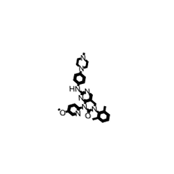 COc1ccc(N2C(=O)N(c3c(C)cccc3C)Cc3cnc(Nc4ccc(N5CCN(C)CC5)cc4)nc32)nc1